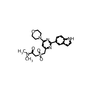 CN(C)C(=O)CS(=O)(=O)Cc1cc(N2CCOCC2)nc(-c2ccc3[nH]ccc3c2)n1